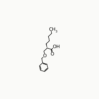 CCCCC[C@H](COCc1ccccc1)C(=O)O